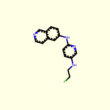 FCCNc1ccc(Nc2ccc3cnccc3c2)nc1